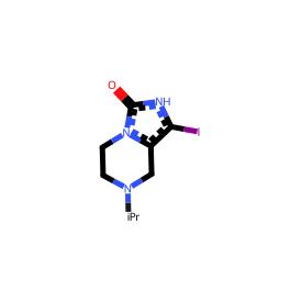 CC(C)N1CCn2c(c(I)[nH]c2=O)C1